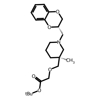 CC(C)(C)OC(=O)COC[C@@]1(C)CCCN(C[C@H]2COc3ccccc3O2)C1